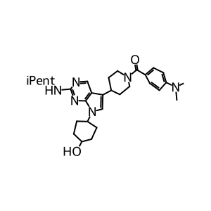 CCCC(C)Nc1ncc2c(C3CCN(C(=O)c4ccc(N(C)C)cc4)CC3)cn(C3CCC(O)CC3)c2n1